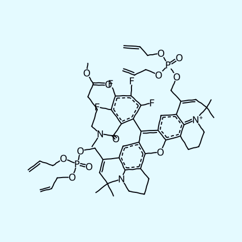 C=CCOP(=O)(OCC=C)OCC1=CC(C)(C)N2CCCc3c4c(cc1c32)C(c1c(F)c(F)c(F)c(F)c1C(=O)N(C)CCCC(=O)OC)=c1cc2c3c(c1O4)CCC[N+]=3C(C)(C)C=C2COP(=O)(OCC=C)OCC=C